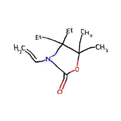 C=CN1C(=O)OC(C)(C)C1(CC)CC